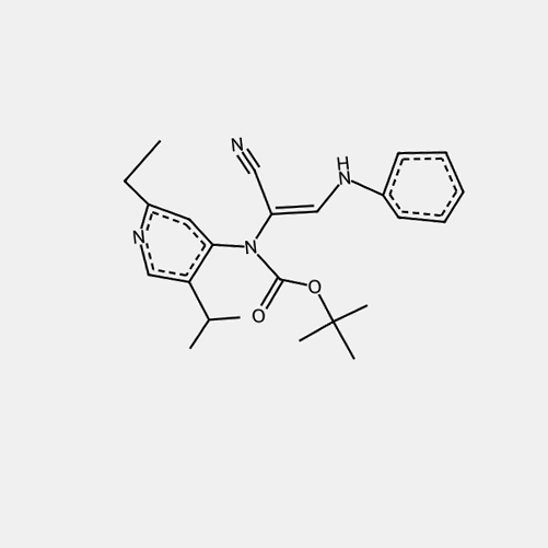 CCc1cc(N(C(=O)OC(C)(C)C)/C(C#N)=C/Nc2ccccc2)c(C(C)C)cn1